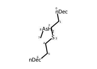 CCCCCCCCCCCCSCCCCCCCCCCCC.C[AsH2]